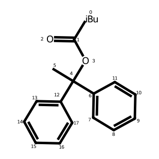 CCC(C)C(=O)OC(C)(c1ccccc1)c1ccccc1